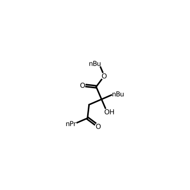 CCCCOC(=O)C(O)(CCCC)CC(=O)CCC